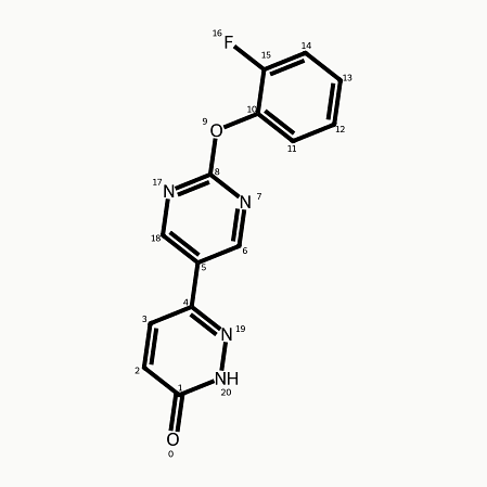 O=c1ccc(-c2cnc(Oc3ccccc3F)nc2)n[nH]1